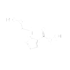 COCC[SH]1C=CC=C1C(=O)OC